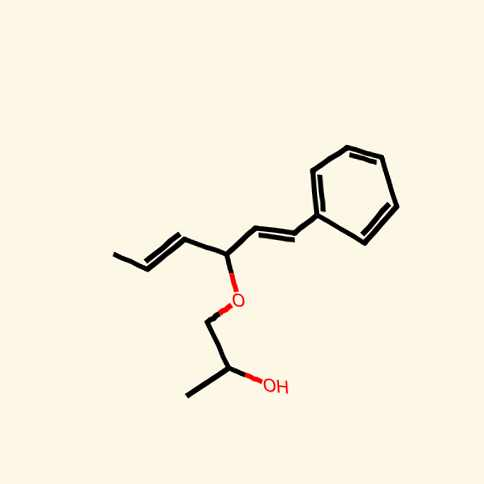 CC=CC(C=Cc1ccccc1)OCC(C)O